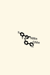 CNCc1cc(-c2ccc(F)cc2F)n(Sc2cccc(-c3cncc(OC)c3)c2)c1